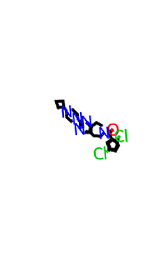 O=C(c1cc(Cl)ccc1Cl)N1CCc2cnc(N3CCN(C4CCC4)CC3)nc2CC1